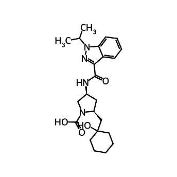 CC(C)n1nc(C(=O)N[C@H]2C[C@@H](CC3(O)CCCCC3)N(C(=O)O)C2)c2ccccc21